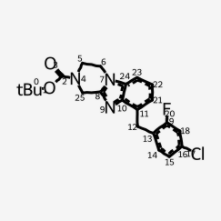 CC(C)(C)OC(=O)N1CCn2c(nc3c(Cc4ccc(Cl)cc4F)cccc32)C1